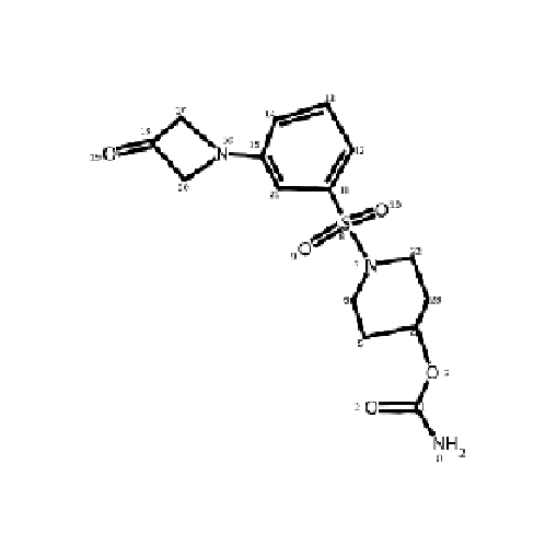 NC(=O)OC1CCN(S(=O)(=O)c2cccc(N3CC(=O)C3)c2)CC1